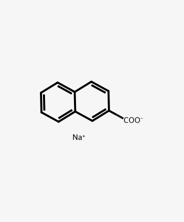 O=C([O-])c1ccc2ccccc2c1.[Na+]